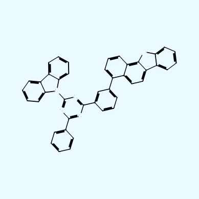 c1ccc(-c2nc(-c3cccc(-c4cccc5c4ccc4c6ccccc6oc54)c3)nc(-n3c4ccccc4c4ccccc43)n2)cc1